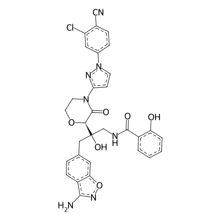 N#Cc1ccc(-n2ccc(N3CCO[C@H](C(O)(CNC(=O)c4ccccc4O)Cc4ccc5c(N)noc5c4)C3=O)n2)cc1Cl